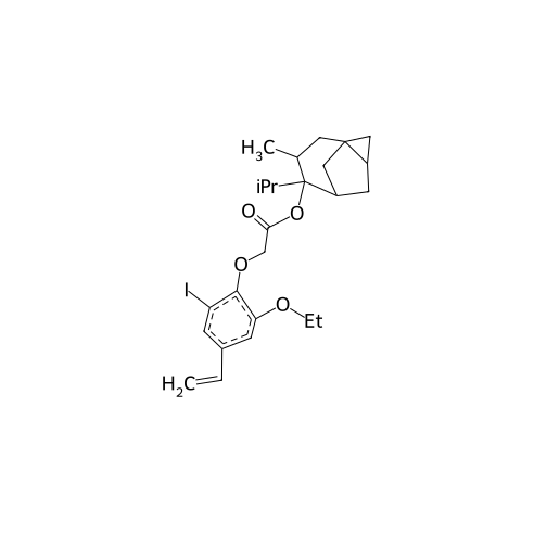 C=Cc1cc(I)c(OCC(=O)OC2(C(C)C)C(C)CC34CC3CC2C4)c(OCC)c1